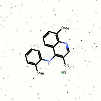 CCOC(=O)c1cnc2c(OC)cccc2c1Nc1ccccc1SC.Cl